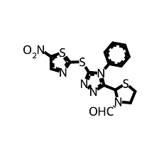 O=CN1CCSC1c1nnc(Sc2ncc([N+](=O)[O-])s2)n1-c1ccccc1